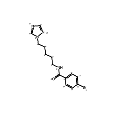 O=C(NCCCCCn1cncn1)c1ccc(Br)cc1